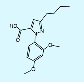 CCCCc1cc(C(=O)O)n(-c2ccc(OC)cc2OC)n1